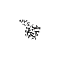 Fc1c(F)c(F)c([B-](c2c(F)c(F)c(F)c(F)c2F)(c2c(F)c(F)c(F)c(F)c2F)c2c(F)c(F)c(F)c(F)c2F)c(F)c1F.[NH3+]C1CCCCC1